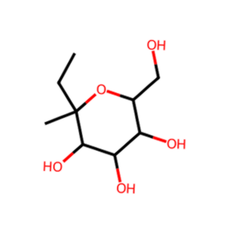 CCC1(C)OC(CO)C(O)C(O)C1O